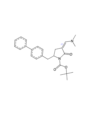 CN(C)/C=C1/CC(Cc2ccc(-c3ccccc3)cc2)N(C(=O)OC(C)(C)C)C1=O